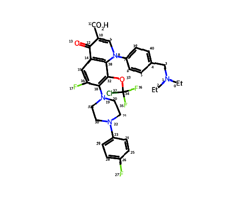 CCN(CC)Cc1ccc(-n2cc(C(=O)O)c(=O)c3cc(F)c(N4CCN(c5ccc(F)cc5)CC4)c(OC(F)(F)Cl)c32)cc1